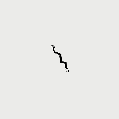 O=CC=CCBr